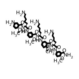 COc1ccc(NC(=O)[C@H](CCCCCN)NC(=O)c2cc(NC(=O)[C@H](CCCCCN)NC(=O)c3cc(NC(=O)[C@H](CCCCCN)NC(=O)c4cc(N)ccc4OC)ccc3OC)ccc2OC)cc1C(N)=O